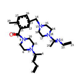 C=C/C=C(\C)N1CCN(C(=O)c2cc(CN3CCN(/C(C)=N/C=C)CC3)ccc2C)CC1